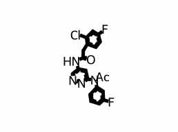 CC(=O)N(c1cccc(F)c1)c1cc(NC(=O)Cc2ccc(F)cc2Cl)cnn1